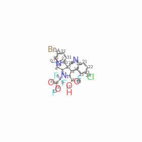 CC(C)(C)C[C@@H]1N(C(F)(F)C(=O)OF)[C@@H](C(=O)O)[C@H](c2cccc(Cl)c2F)[C@@]1(C#N)c1ccc(Br)cn1